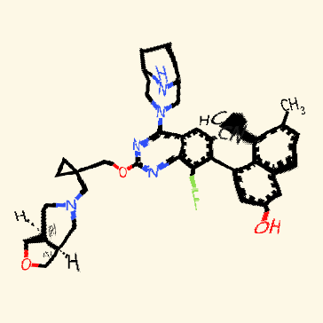 C#Cc1c(C)ccc2cc(O)cc(-c3c(C#N)cc4c(N5CC6CCC(C5)N6)nc(OCC5(CN6C[C@H]7COC[C@H]7C6)CC5)nc4c3F)c12